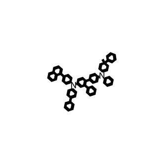 CC1(c2ccccc2)C=CC(N(c2ccccc2)c2ccc(-c3ccc(N(c4ccc(-c5ccccc5)cc4)c4ccc(-c5cccc6ccccc56)cc4)cc3-c3ccccc3)cc2)=CC1